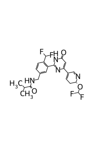 CC(C)C(=O)NCc1ccc(C(F)F)c(-c2nc(C3=CC[C@@H](OC(F)F)N=C3)cc(=O)[nH]2)c1